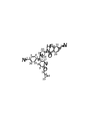 N#Cc1ccc([C@H](c2ccc(OCC3CC3)nc2)N2CCC(NC(=O)c3ccc(C#N)cc3F)C2)cc1